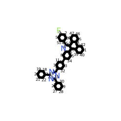 Fc1ccc(-c2nc3cc(-c4ccc(-c5nc(-c6ccccc6)nc(-c6ccccc6)n5)cc4)ccc3c3c4ccccc4c4ccccc4c23)cc1